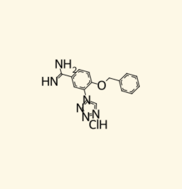 Cl.N=C(N)c1ccc(OCc2ccccc2)c(-n2cnnn2)c1